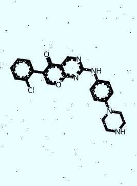 O=c1c(-c2ccccc2Cl)coc2nc(Nc3ccc(N4CCNCC4)cc3)ncc12